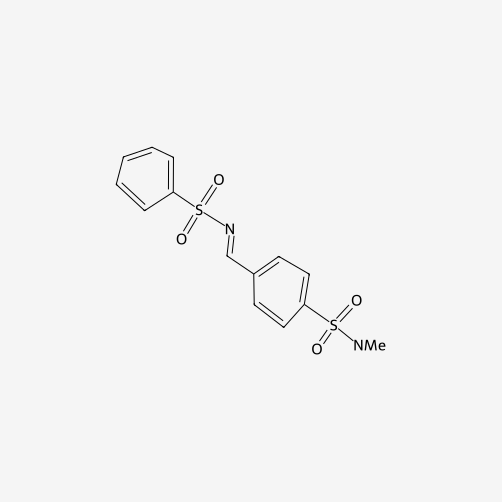 CNS(=O)(=O)c1ccc(C=NS(=O)(=O)c2ccccc2)cc1